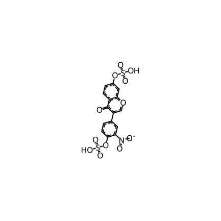 O=c1c(-c2ccc(OS(=O)(=O)O)c([N+](=O)[O-])c2)coc2cc(OS(=O)(=O)O)ccc12